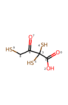 O=C(O)C(S)(S)C(=O)CS